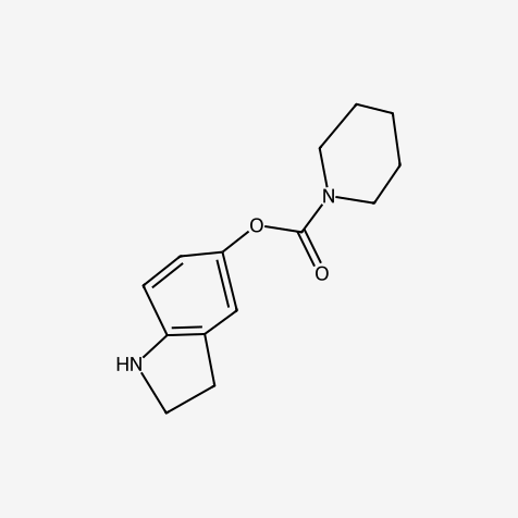 O=C(Oc1ccc2c(c1)CCN2)N1CCCCC1